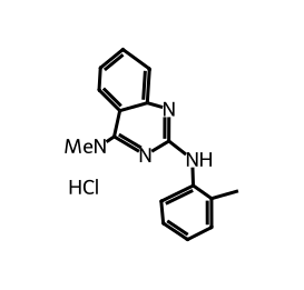 CNc1nc(Nc2ccccc2C)nc2ccccc12.Cl